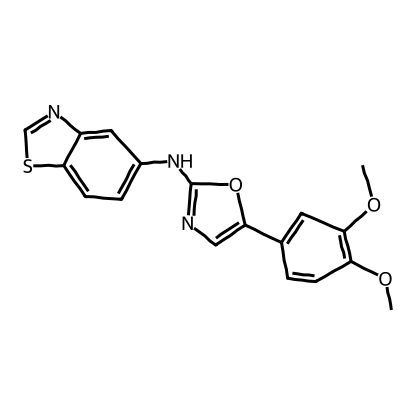 COc1ccc(-c2cnc(Nc3ccc4scnc4c3)o2)cc1OC